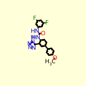 COc1ccc(-c2ccc(NC(=O)Nc3cc(F)cc(F)c3)c(-c3nnn[nH]3)c2)cc1